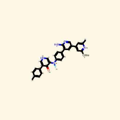 COc1cc(-c2cnc(N)c(-c3ccc(N(F)c4c[nH]cc(-c5ccc(C)cc5)c4=O)cc3)c2)cc(C)n1